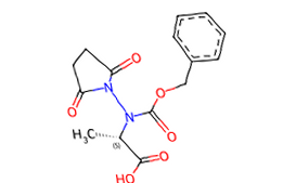 C[C@@H](C(=O)O)N(C(=O)OCc1ccccc1)N1C(=O)CCC1=O